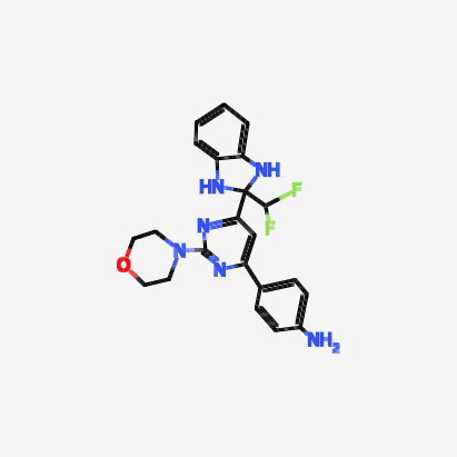 Nc1ccc(-c2cc(C3(C(F)F)Nc4ccccc4N3)nc(N3CCOCC3)n2)cc1